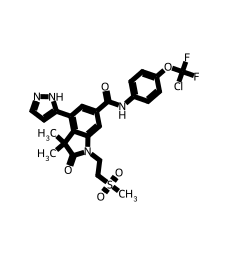 CC1(C)C(=O)N(CCS(C)(=O)=O)c2cc(C(=O)Nc3ccc(OC(F)(F)Cl)cc3)cc(-c3ccn[nH]3)c21